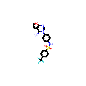 NC1c2ccoc2N=CN1c1ccc(NS(=O)(=O)c2ccc(C(F)(F)F)cc2)cc1